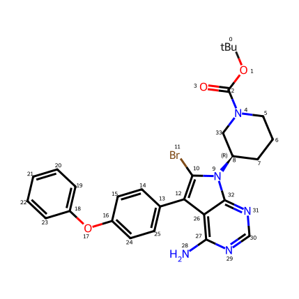 CC(C)(C)OC(=O)N1CCC[C@@H](n2c(Br)c(-c3ccc(Oc4ccccc4)cc3)c3c(N)ncnc32)C1